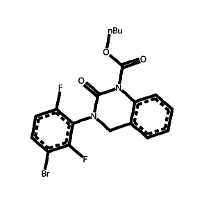 CCCCOC(=O)N1C(=O)N(c2c(F)ccc(Br)c2F)Cc2ccccc21